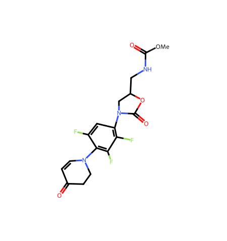 COC(=O)NCC1CN(c2cc(F)c(N3C=CC(=O)CC3)c(F)c2F)C(=O)O1